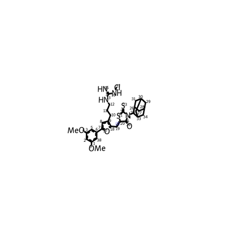 COc1cc(OC)cc(-c2cc(CCCNC(=N)NCl)c(/C=C3\SC(=S)N(C4C5CC6CC(C5)CC4C6)C3=O)o2)c1